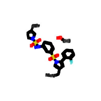 CNCc1cc(-c2ccccc2F)n(S(=O)(=O)c2cccc(NS(=O)(=O)N3CC[C@@H](OC)C3)c2)c1.O=CO